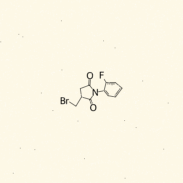 O=C1CC(CBr)C(=O)N1c1ccccc1F